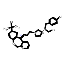 CC(C)CN(Cc1ccc(Cl)cc1)[C@@H]1CCN(CC/C=C2/C3=C(C=CC(C(C)(C)O)C3)OCc3ncccc32)C1